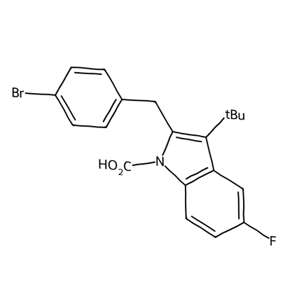 CC(C)(C)c1c(Cc2ccc(Br)cc2)n(C(=O)O)c2ccc(F)cc12